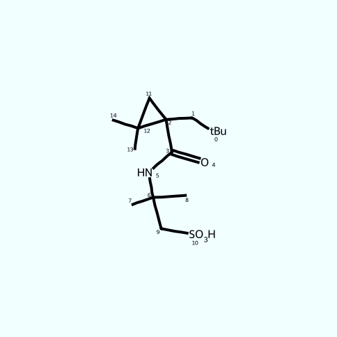 CC(C)(C)CC1(C(=O)NC(C)(C)CS(=O)(=O)O)CC1(C)C